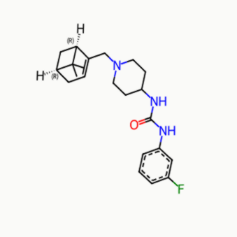 CC1(C)[C@H]2CC=C(CN3CCC(NC(=O)Nc4cccc(F)c4)CC3)[C@@H]1C2